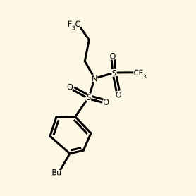 CCC(C)c1ccc(S(=O)(=O)N(CCC(F)(F)F)S(=O)(=O)C(F)(F)F)cc1